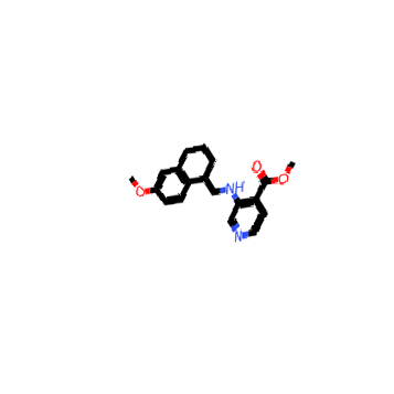 COC(=O)c1ccncc1NCC1CCCc2cc(OC)ccc21